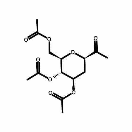 CC(=O)OC[C@H]1O[C@@H](C(C)=O)C[C@@H](OC(C)=O)[C@@H]1OC(C)=O